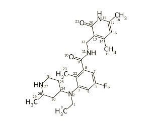 CCN(c1cc(F)cc(C(=O)NCc2c(C)cc(C)[nH]c2=O)c1C)C1CCNC(C)C1